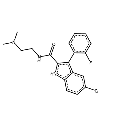 CN(C)CCNC(=O)c1[nH]c2ccc(Cl)cc2c1-c1ccccc1F